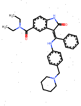 CCN(CC)C(=O)c1ccc2c(c1)/C(=C(\Nc1ccc(CN3CCCCC3)cc1)c1ccccc1)C(=O)N2